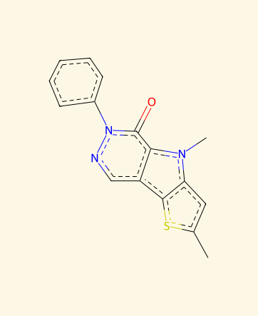 Cc1cc2c(s1)c1cnn(-c3ccccc3)c(=O)c1n2C